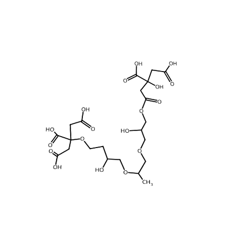 CC(COCC(O)COC(=O)CC(O)(CC(=O)O)C(=O)O)OCC(O)CCOC(CC(=O)O)(CC(=O)O)C(=O)O